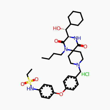 CCCCN1C(=O)[C@@H]([C@H](O)C2CCCCC2)NC(=O)C12CCN(Cc1ccc(Oc3ccc(NS(=O)(=O)CC)cc3)cc1)CC2.Cl